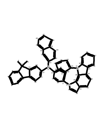 CC1(C)c2ccccc2-c2ccc(N(c3ccc(-n4ccc5ccc6c7ccccc7n(-c7ccccc7)c6c54)cc3)c3ccc4ccccc4c3)cc21